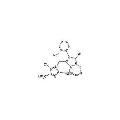 CCCCc1nc(C(=O)OCC)c(Cl)n1Cc1c2ccocc-2c(Br)c1-c1ccccc1C#N